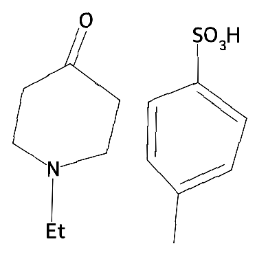 CCN1CCC(=O)CC1.Cc1ccc(S(=O)(=O)O)cc1